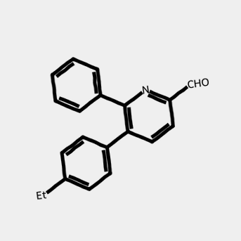 CCc1ccc(-c2ccc(C=O)nc2-c2ccccc2)cc1